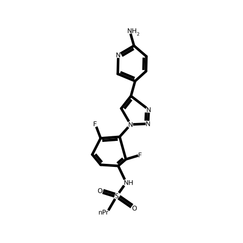 CCCS(=O)(=O)Nc1ccc(F)c(-n2cc(-c3ccc(N)nc3)nn2)c1F